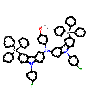 COc1ccc(N(c2ccc3c(c2)c2cc([Si](c4ccccc4)(c4ccccc4)c4ccccc4)ccc2n3-c2ccc(F)cc2)c2ccc3c(c2)c2cc([Si](c4ccccc4)(c4ccccc4)c4ccccc4)ccc2n3-c2ccc(F)cc2)cc1